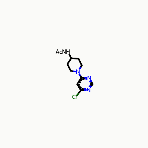 CC(=O)NC1CCN(c2cc(Cl)ncn2)CC1